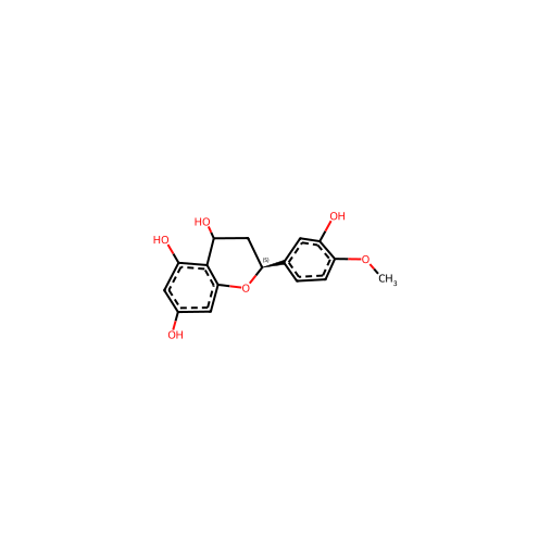 COc1ccc([C@@H]2CC(O)c3c(O)cc(O)cc3O2)cc1O